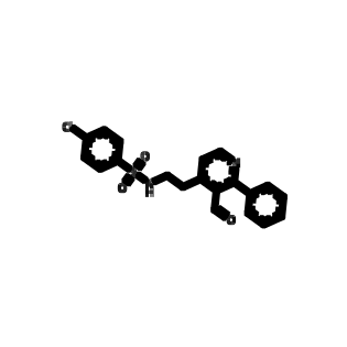 O=Cc1c(CCNS(=O)(=O)c2ccc(Cl)cc2)ccnc1-c1ccccc1